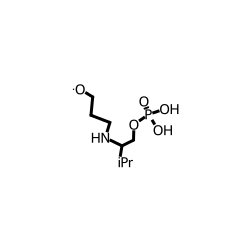 CC(C)C(COP(=O)(O)O)NCCC[O]